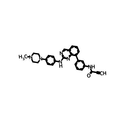 C#CC(=O)Nc1cccc(-c2cccc3cnc(Nc4ccc(N5CCN(C)CC5)cc4)nc23)c1